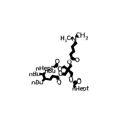 CCCCCCCC(=O)OCC(COC(=O)CCCCCCC)(COC(=O)CCCCN(C)C)COC(=O)CCC(CCCC)C(CCCC)CCCC